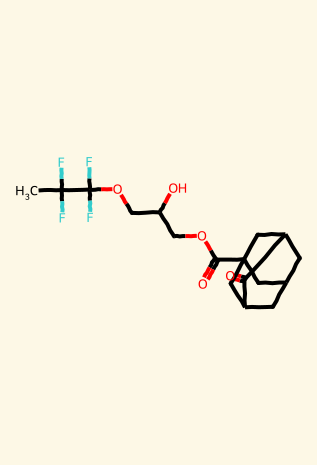 CC(F)(F)C(F)(F)OCC(O)COC(=O)C12CC3CC(C1)C(=O)C(C3)C2